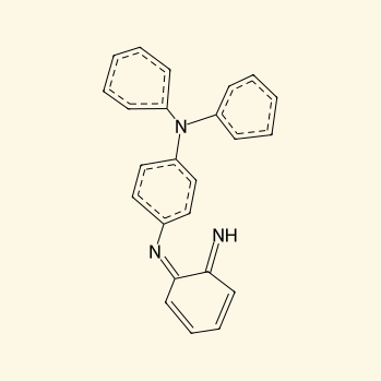 N=C1C=CC=C/C1=N/c1ccc(N(c2ccccc2)c2ccccc2)cc1